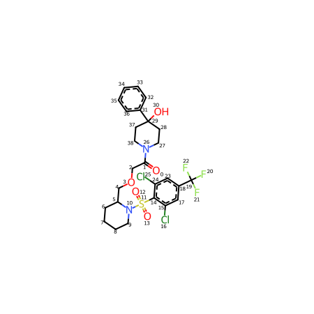 O=C(COCC1CCCCN1S(=O)(=O)c1c(Cl)cc(C(F)(F)F)cc1Cl)N1CCC(O)(c2ccccc2)CC1